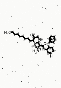 CCCCCCCCCC1C(Cl)CNC2C(C(=O)NC3CNCCC3OC3CN4CCC3CC4)C(N)NN12